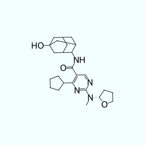 CN(c1ncc(C(=O)NC2C3CC4CC2CC(O)(C4)C3)c(C2CCCC2)n1)[C@@H]1CCCO1